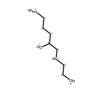 CCCCCCCCC(O)CNCCO